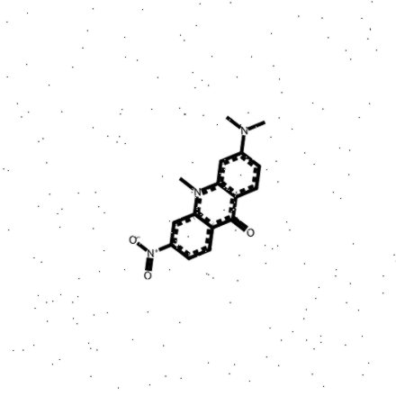 CN(C)c1ccc2c(=O)c3ccc([N+](=O)[O-])cc3n(C)c2c1